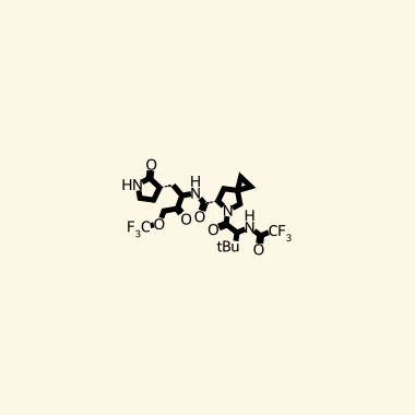 CC(C)(C)C(NC(=O)C(F)(F)F)C(=O)N1CC2(CC2)C[C@H]1C(=O)NC(C[C@@H]1CCNC1=O)C(=O)COC(F)(F)F